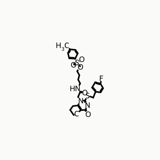 Cc1ccc(S(=O)(=O)OCCCCNC(=O)Cn2c(SCc3ccc(F)cc3)nc(=O)c3c2CCCC3)cc1